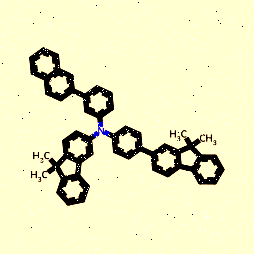 CC1(C)c2ccccc2-c2cc(N(c3ccc(-c4ccc5c(c4)C(C)(C)c4ccccc4-5)cc3)c3cccc(-c4ccc5ccccc5c4)c3)ccc21